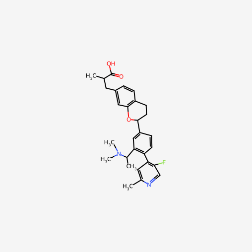 Cc1cc(-c2ccc(C3CCc4ccc(CC(C)C(=O)O)cc4O3)cc2C(C)N(C)C)c(F)cn1